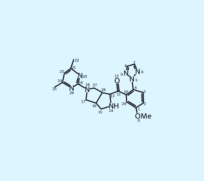 COc1ccc(-n2nccn2)c(C(=O)C2NCC3CN(c4nc(C)cc(C)n4)CC32)c1